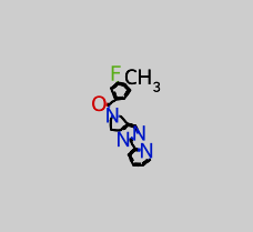 Cc1ccc(C(=O)N2CCc3nc(-c4ccccn4)ncc3C2)cc1F